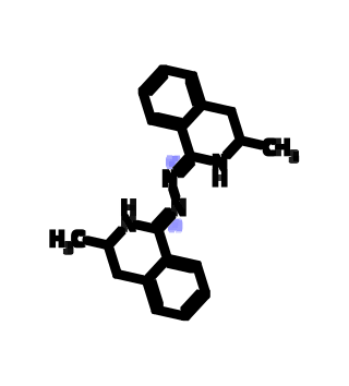 CC1Cc2ccccc2/C(=N/N=C2\NC(C)Cc3ccccc32)N1